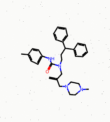 C=C(CN1CCN(C)CC1)CN(CCC(c1ccccc1)c1ccccc1)C(=O)Nc1ccc(C)cc1